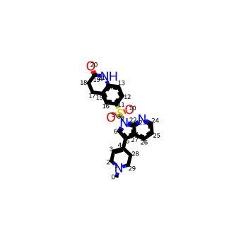 CN1CC=C(c2cn(S(=O)(=O)c3ccc4c(c3)CCC(=O)N4)c3ncccc23)CC1